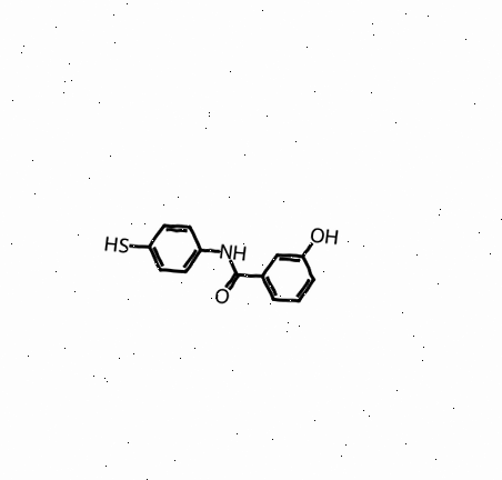 O=C(Nc1ccc(S)cc1)c1cccc(O)c1